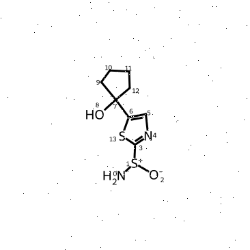 N[S+]([O-])c1ncc(C2(O)CCCC2)s1